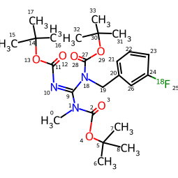 CN(C(=O)OC(C)(C)C)/C(=N/C(=O)OC(C)(C)C)N(Cc1cccc([18F])c1)C(=O)OC(C)(C)C